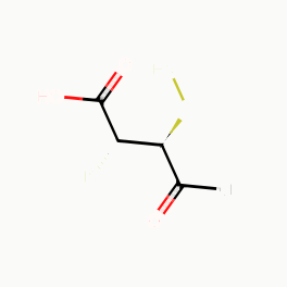 CC(=O)[C@H](SS)[C@H](S)C(=O)O